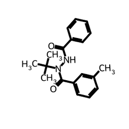 Cc1cccc(C(=O)N(NC(=O)c2ccccc2)C(C)(C)C)c1